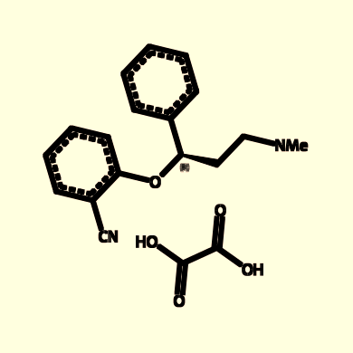 CNCC[C@@H](Oc1ccccc1C#N)c1ccccc1.O=C(O)C(=O)O